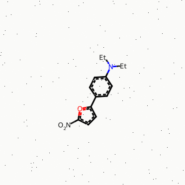 CCN(CC)c1ccc(-c2ccc([N+](=O)[O-])o2)cc1